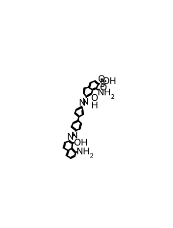 Nc1cccc2ccc(N=Nc3ccc(-c4ccc(N=Nc5ccc6ccc(S(=O)(=O)O)c(N)c6c5O)cc4)cc3)c(O)c12